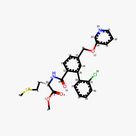 COC(=O)[C@H](CCSC)NC(=O)c1ccc(COc2cccnc2)cc1-c1ccccc1Cl